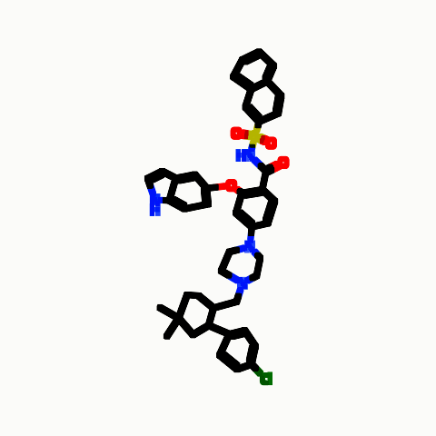 CC1(C)CCC(CN2CCN(c3ccc(C(=O)NS(=O)(=O)c4ccc5ccccc5c4)c(Oc4ccc5[nH]ccc5c4)c3)CC2)C(c2ccc(Cl)cc2)C1